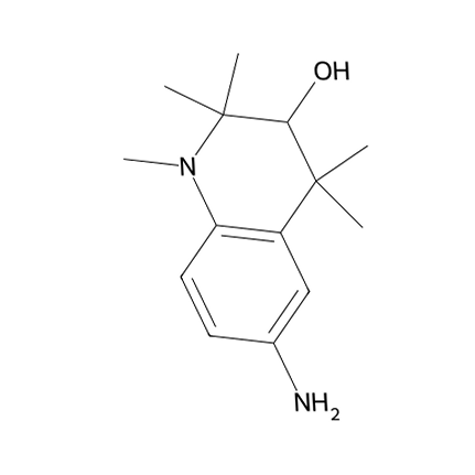 CN1c2ccc(N)cc2C(C)(C)C(O)C1(C)C